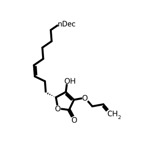 C=CCOC1=C(O)[C@@H](CC/C=C\CCCCCCCCCCCCCC)OC1=O